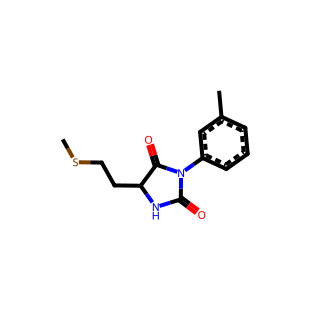 CSCCC1NC(=O)N(c2cccc(C)c2)C1=O